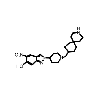 O=[N+]([O-])c1cc2cn(C3CCN(CC4CCC5(CCNCC5)CC4)CC3)nc2cc1O